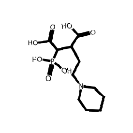 O=C(O)C(CCN1CCCCC1)C(C(=O)O)P(=O)(O)O